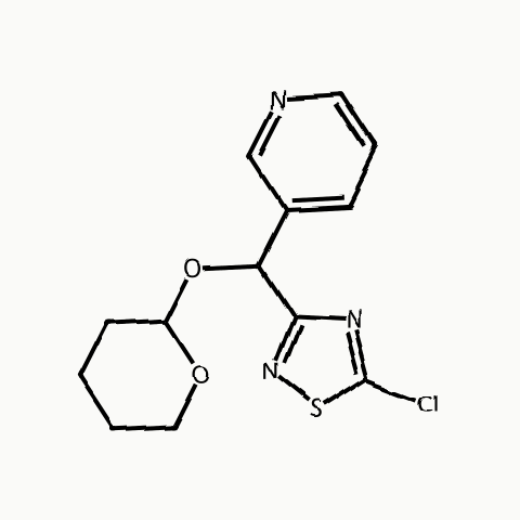 Clc1nc(C(OC2CCCCO2)c2cccnc2)ns1